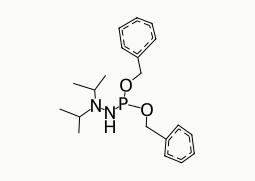 CC(C)N(NP(OCc1ccccc1)OCc1ccccc1)C(C)C